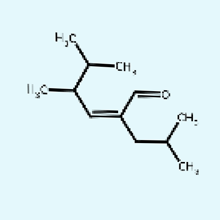 CC(C)C/C(C=O)=C/C(C)C(C)C